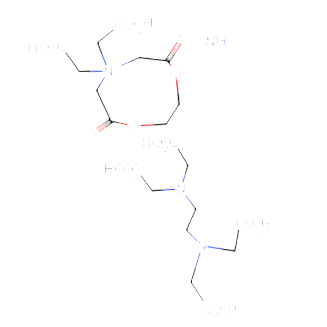 N.O=C(O)CN(CCN(CC(=O)O)CC(=O)O)CC(=O)O.O=C(O)C[N+]1(CC(=O)O)CC(=O)OCCOC(=O)C1